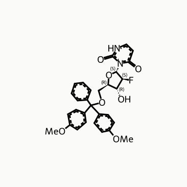 COc1ccc(C(OC[C@H]2O[C@H](n3c(=O)cc[nH]c3=O)[C@@H](F)[C@@H]2O)(c2ccccc2)c2ccc(OC)cc2)cc1